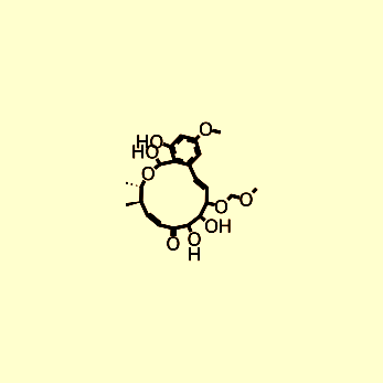 COCOC1/C=C/c2cc(OC)cc(O)c2C(O)O[C@@H](C)[C@H](C)/C=C\C(=O)C(O)C1O